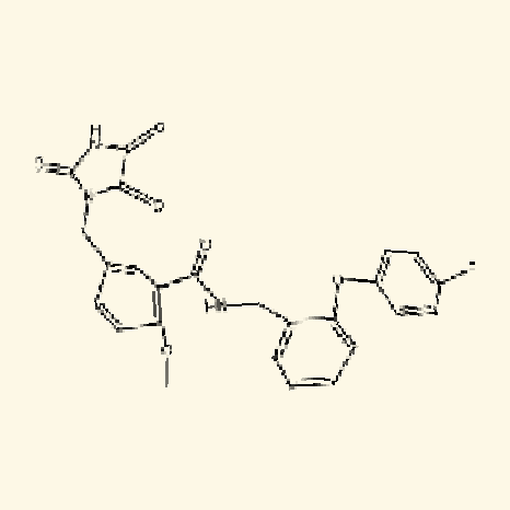 COc1ccc(CN2C(=O)NC(=O)C2=O)cc1C(=O)NCc1ccccc1Oc1ccc(F)cc1